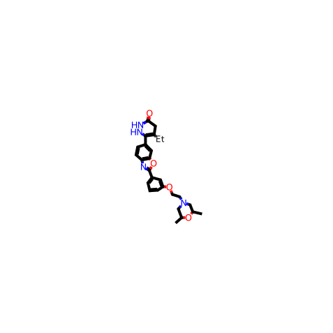 CCC1=C(c2ccc3nc(-c4cccc(OCCN5CC(C)OC(C)C5)c4)oc3c2)NNC(=O)C1